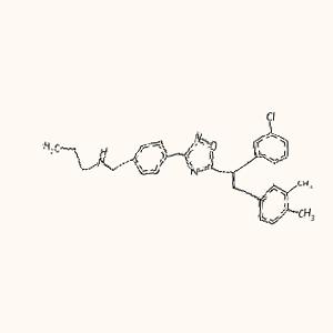 [CH2]CCNCc1ccc(-c2noc(C(Cc3ccc(C)c(C)c3)c3cccc(Cl)c3)n2)cc1